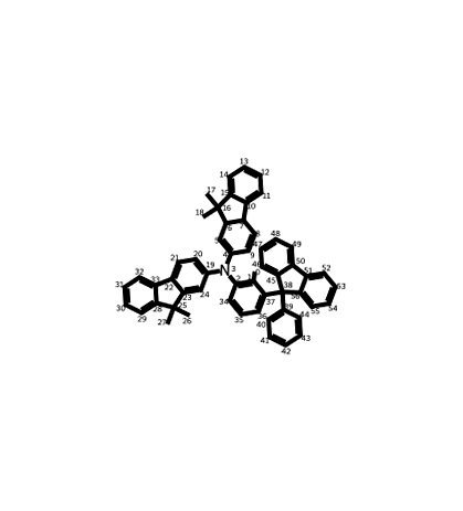 Cc1c(N(C2=CC3C(C=C2)c2ccccc2C3(C)C)c2ccc3c(c2)C(C)(C)c2ccccc2-3)cccc1C1(c2ccccc2)c2ccccc2-c2ccccc21